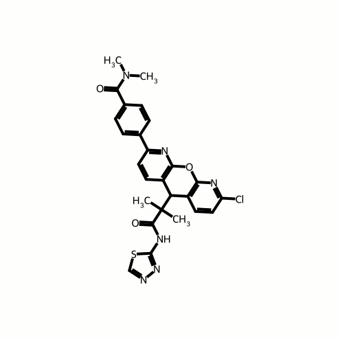 CN(C)C(=O)c1ccc(-c2ccc3c(n2)Oc2nc(Cl)ccc2C3C(C)(C)C(=O)Nc2nncs2)cc1